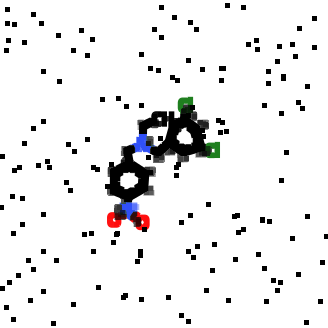 CCN(Cc1ccc([N+](=O)[O-])cc1)Cc1cc(Cl)cc(Cl)c1